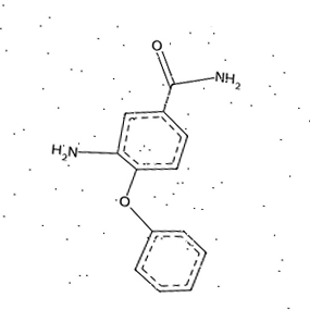 NC(=O)c1ccc(Oc2ccccc2)c(N)c1